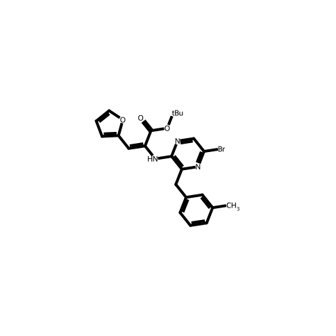 Cc1cccc(Cc2nc(Br)cnc2NC(=Cc2ccco2)C(=O)OC(C)(C)C)c1